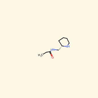 CCC(=O)NC[C@@H]1CCCCN1